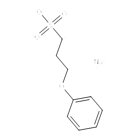 O=S(=O)([O-])CCCOc1ccccc1.[Na+]